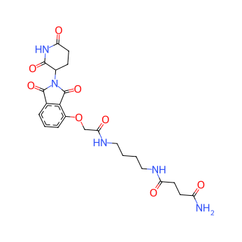 NC(=O)CCC(=O)NCCCCNC(=O)COc1cccc2c1C(=O)N(C1CCC(=O)NC1=O)C2=O